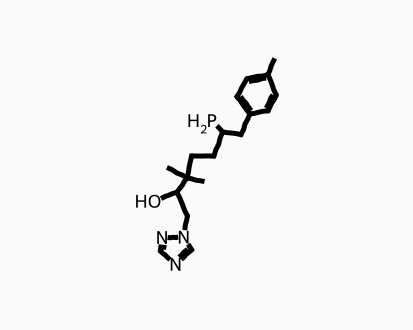 Cc1ccc(CC(P)CCC(C)(C)C(O)Cn2cncn2)cc1